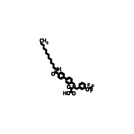 CCCCCCCCCCCCNC(=O)c1ccc(-c2ccc(CN(Cc3cccc(OC(F)(F)F)c3)C(=O)C(=O)O)cc2)cc1